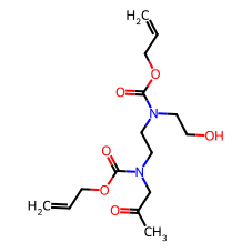 C=CCOC(=O)N(CCO)CCN(CC(C)=O)C(=O)OCC=C